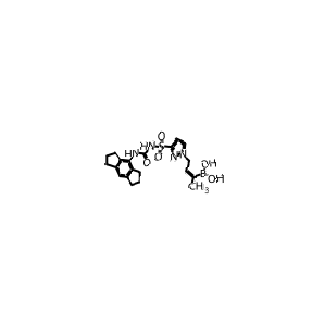 C/C(=C/Cn1ccc(S(=O)(=O)NC(=O)Nc2c3c(cc4c2CCC4)CCC3)n1)B(O)O